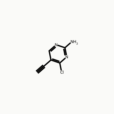 C#Cc1cnc(N)nc1Cl